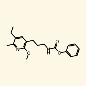 CCc1cc(CCCNC(=O)Oc2ccccc2)c(OC)nc1C